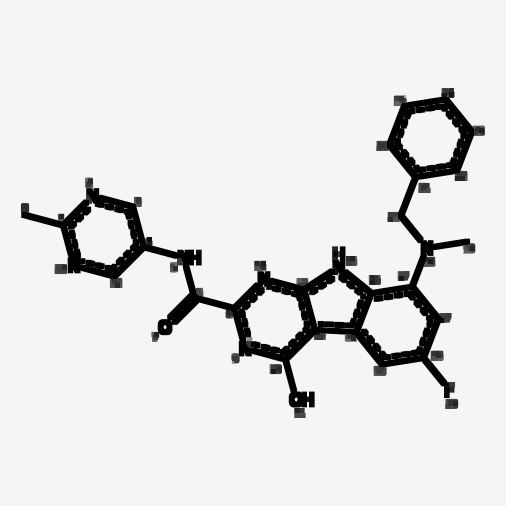 Cc1ncc(NC(=O)c2nc(O)c3c(n2)[nH]c2c(N(C)Cc4ccccc4)cc(F)cc23)cn1